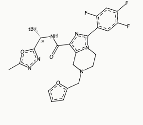 Cc1nnc([C@@H](NC(=O)c2nc(-c3cc(F)c(F)cc3F)n3c2CN(Cc2ccco2)CC3)C(C)(C)C)o1